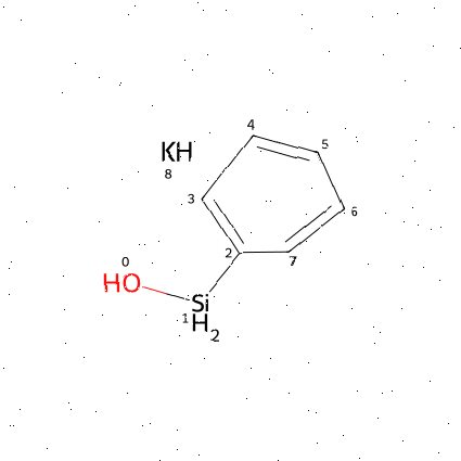 O[SiH2]c1ccccc1.[KH]